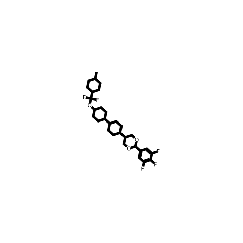 CC1CCC(C(F)(F)OC2CCC(C3CCC(C4COC(c5cc(F)c(F)c(F)c5)OC4)CC3)CC2)CC1